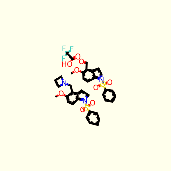 COc1ccc2c(ccn2S(=O)(=O)c2ccccc2)c1C=O.COc1ccc2c(ccn2S(=O)(=O)c2ccccc2)c1CN1CCC1.O=C(O)C(F)(F)F